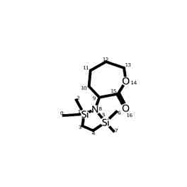 C[Si]1(C)CC[Si](C)(C)N1C1CCCCOC1=O